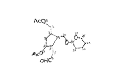 CC(=O)OC[C@H]1CC(OC(C)=O)[C@@H](CC=O)[C@@H]1COC1CCCCO1